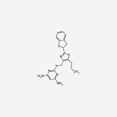 CCCc1sc(C2Cc3ccccc3S2)nc1CSc1nc(N)cc(N)n1